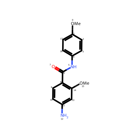 COc1ccc(NC(=O)c2ccc(N)cc2OC)cc1